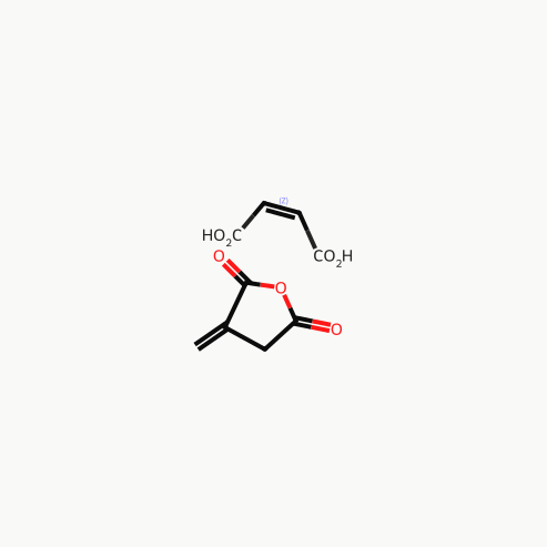 C=C1CC(=O)OC1=O.O=C(O)/C=C\C(=O)O